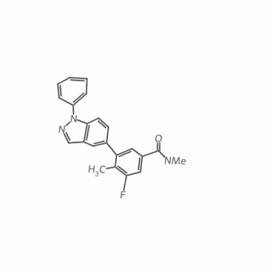 CNC(=O)c1cc(F)c(C)c(-c2ccc3c(cnn3-c3ccccc3)c2)c1